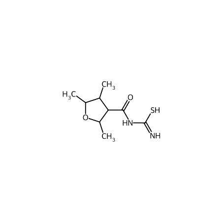 CC1OC(C)C(C(=O)NC(=N)S)C1C